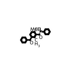 COP(C(=O)c1c(C)ccc(C(=O)c2ccccc2)c1C)c1ccccc1